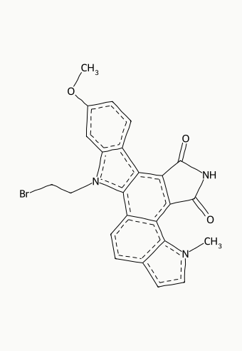 COc1ccc2c3c4c(c5c(ccc6ccn(C)c65)c3n(CCBr)c2c1)C(=O)NC4=O